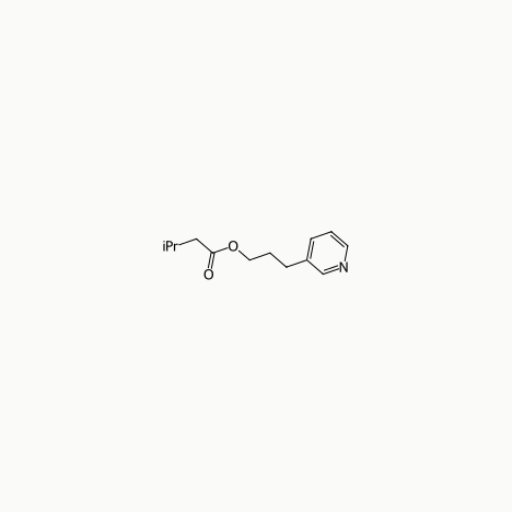 CC(C)CC(=O)OCCCc1cccnc1